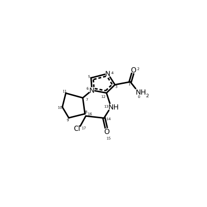 NC(=O)c1ncn(C2CCCC2)c1NC(=O)CCl